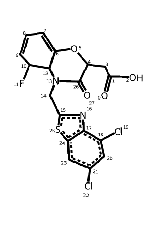 O=C(O)CC1OC2=CC=CC(F)C2N(Cc2nc3c(Cl)cc(Cl)cc3s2)C1=O